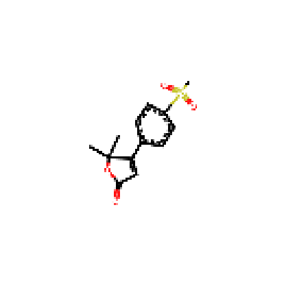 CC1(C)OC(=O)C=C1c1ccc(S(C)(=O)=O)cc1